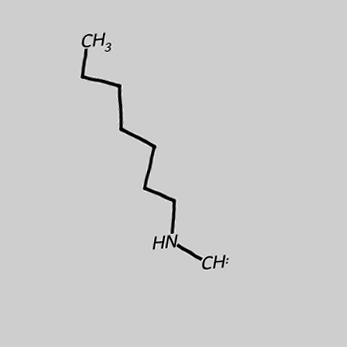 [CH]NCCCCCCC